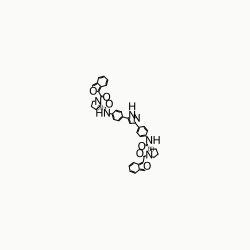 O=C(Nc1ccc(-c2cc(-c3ccc(NC(=O)[C@@H]4CCCN4C(=O)c4occ5ccccc45)cc3)[nH]n2)cc1)[C@@H]1CCCN1C(=O)c1occ2ccccc12